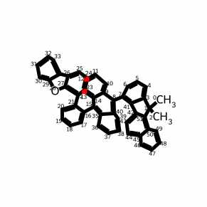 CC1(C)c2cccc(-c3c4ccccc4c(-c4ccccc4-c4cccc5c4oc4ccccc45)c4ccccc34)c2-c2ccc3ccccc3c21